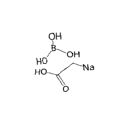 O=C(O)[CH2][Na].OB(O)O